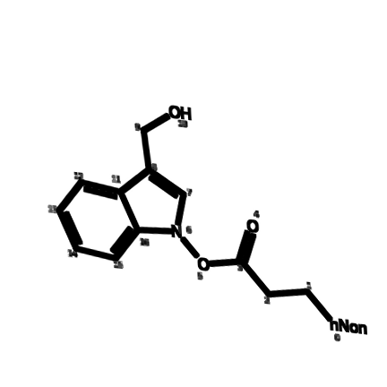 CCCCCCCCCCCC(=O)On1cc(CO)c2ccccc21